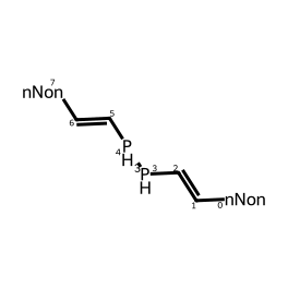 CCCCCCCCC/C=C/P[PH3]/C=C/CCCCCCCCC